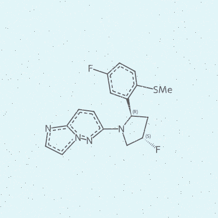 CSc1ccc(F)cc1[C@H]1C[C@H](F)CN1c1ccc2nccn2n1